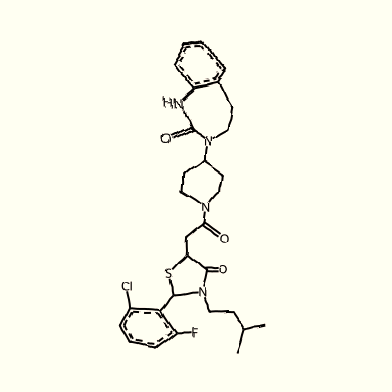 CC(C)CCN1C(=O)C(CC(=O)N2CCC(N3CCc4ccccc4NC3=O)CC2)SC1c1c(F)cccc1Cl